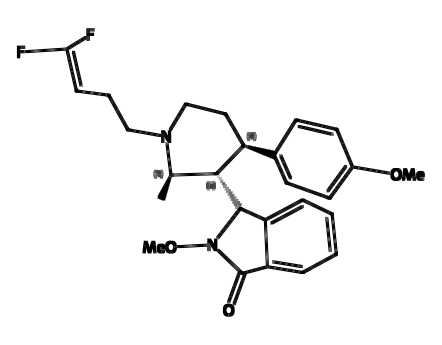 COc1ccc([C@@H]2CCN(CCC=C(F)F)[C@H](C)[C@H]2C2c3ccccc3C(=O)N2OC)cc1